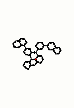 c1ccc(N(c2cccc(-c3ccc4ccccc4c3)c2)c2cc(-c3cccc4ccccc34)ccc2-c2cccc3ccccc23)cc1